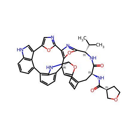 CC(C)[C@@H]1NC(=O)[C@@H](NC(=O)[C@H]2CCOC2)Cc2ccc3c(c2)[C@]24c5cccc(c5NC2O3)-c2cccc3[nH]cc(c23)-c2cnc(o2)-c2nc1oc24